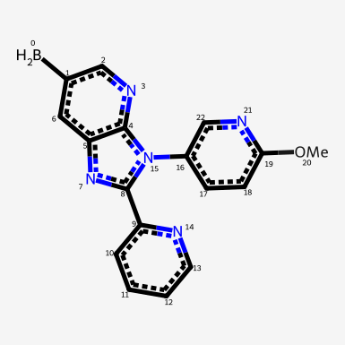 Bc1cnc2c(c1)nc(-c1ccccn1)n2-c1ccc(OC)nc1